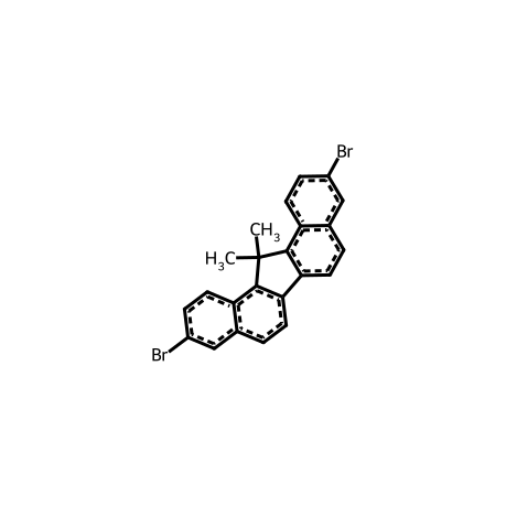 CC1(C)c2c(ccc3cc(Br)ccc23)-c2ccc3cc(Br)ccc3c21